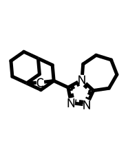 C1CCc2nnc(C34CC5CCCC(C5)(C3)C4)n2CC1